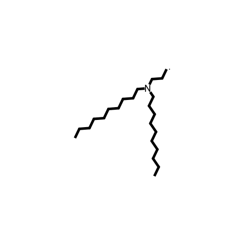 [CH2]CCN(CCCCCCCCCC)CCCCCCCCCC